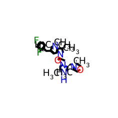 C=C1C(Cc2ccc(F)cc2F)=CC2=C(N1C)C(C)(C)CN2C(=O)CN1C[C@@H](C)NC[C@@H]1CN1[C@H](C)COC[C@H]1C